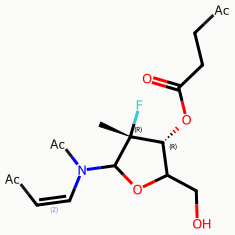 CC(=O)/C=C\N(C(C)=O)C1OC(CO)[C@@H](OC(=O)CCC(C)=O)[C@@]1(C)F